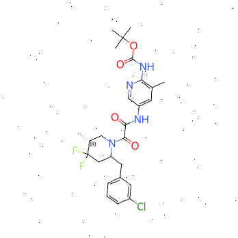 Cc1cc(NC(=O)C(=O)N2C[C@@H](C)C(F)(F)CC2Cc2cccc(Cl)c2)cnc1NC(=O)OC(C)(C)C